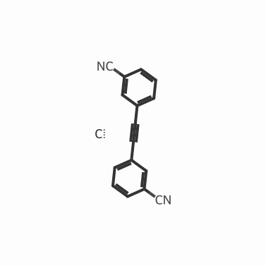 N#Cc1cccc(C#Cc2cccc(C#N)c2)c1.[C]